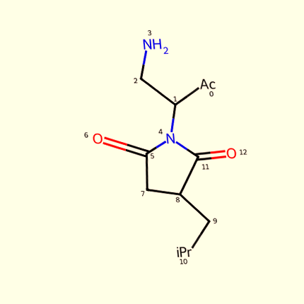 CC(=O)C(CN)N1C(=O)CC(CC(C)C)C1=O